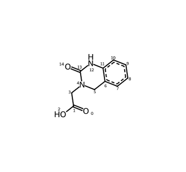 O=C(O)CN1Cc2ccccc2NC1=O